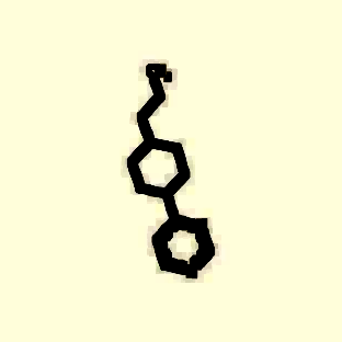 CCCC1CCC(c2ccncn2)CC1